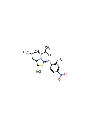 Cc1cc([N+](=O)[O-])ccc1/N=C1\SCC(CC(C)C)N1CC(C)C.Cl